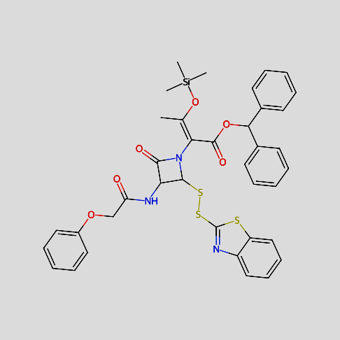 C/C(O[Si](C)(C)C)=C(/C(=O)OC(c1ccccc1)c1ccccc1)N1C(=O)C(NC(=O)COc2ccccc2)C1SSc1nc2ccccc2s1